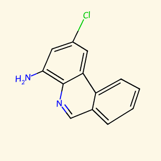 Nc1cc(Cl)cc2c1ncc1ccccc12